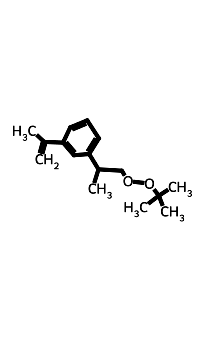 C=C(C)c1cccc(C(C)COOC(C)(C)C)c1